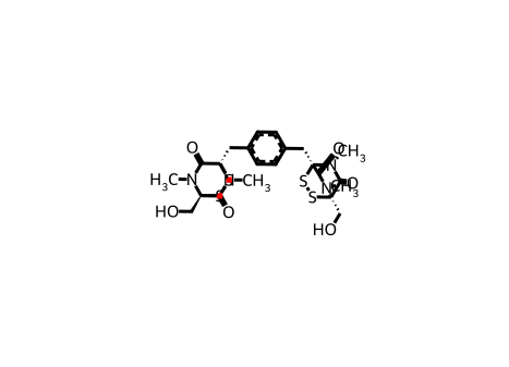 CN1C(=O)[C@@]2(Cc3ccc(C[C@]45SS[C@](CO)(C(=O)N4C)N(C)C5=O)cc3)SS[C@]1(CO)C(=O)N2C